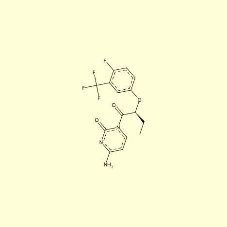 CC[C@H](Oc1ccc(F)c(C(F)(F)F)c1)C(=O)n1ccc(N)nc1=O